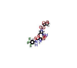 Cn1cc2c(c1C(=O)Nc1cc(F)c(F)c(F)c1)OCC1CN(C(=O)OC3COC4OCCC34)CC1NS2(=O)=O